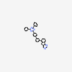 c1ccc(-c2nc(-c3ccccc3)nc(-c3ccc(-c4cccc(-c5cccc6c5Cc5cncnc5-6)c4)cc3)n2)cc1